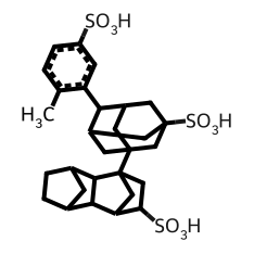 Cc1ccc(S(=O)(=O)O)cc1C1C2CC3(C45CC(C6C7CCC(C7)C64)C(S(=O)(=O)O)C5)CC1CC(S(=O)(=O)O)(C2)C3